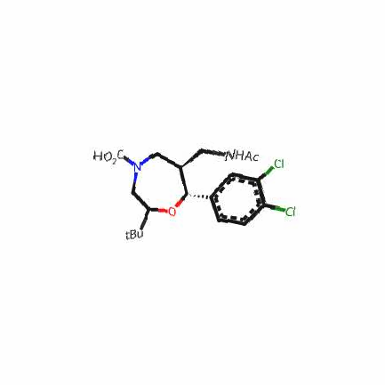 CC(=O)NC[C@@H]1CN(C(=O)O)CC(C(C)(C)C)O[C@H]1c1ccc(Cl)c(Cl)c1